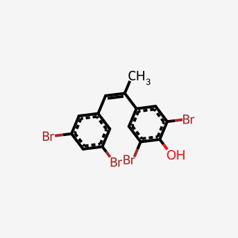 CC(=Cc1cc(Br)cc(Br)c1)c1cc(Br)c(O)c(Br)c1